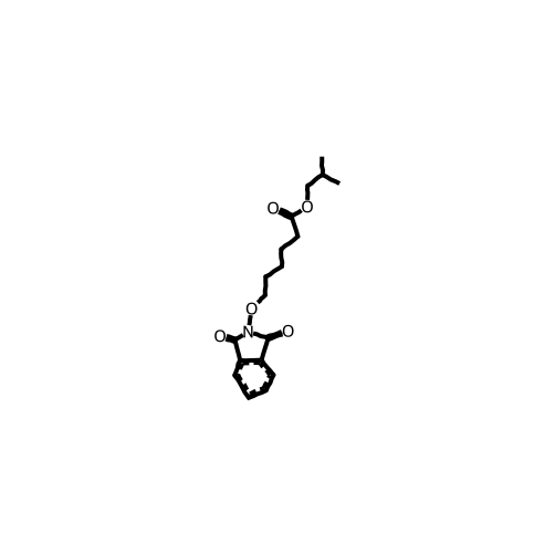 CC(C)COC(=O)CCCCCON1C(=O)c2ccccc2C1=O